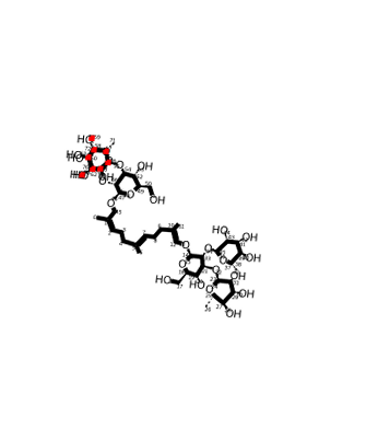 C/C(=C/CC/C(C)=C/CC/C(C)=C/O[C@@H]1O[C@H](CO)[C@@H](O)[C@H](O[C@@H]2O[C@@H](C)[C@H](O)[C@@H](O)[C@H]2O)[C@H]1O[C@@H]1O[C@@H](C)[C@H](O)[C@@H](O)[C@H]1O)CO[C@@H]1O[C@H](CO)[C@@H](O)[C@H](O[C@@H]2O[C@@H](C)[C@H](O)[C@@H](O)[C@H]2O)[C@H]1O[C@@H]1O[C@@H](C)[C@@H](O)[C@@H](O)[C@H]1O